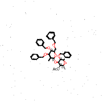 CC(=O)O[C@H]1C(O[C@H]2OC(COCc3ccccc3)[C@@H](OCc3ccccc3)C(OCc3ccccc3)C2C)[C@@H](OCc2ccccc2)C(C)O[C@H]1C